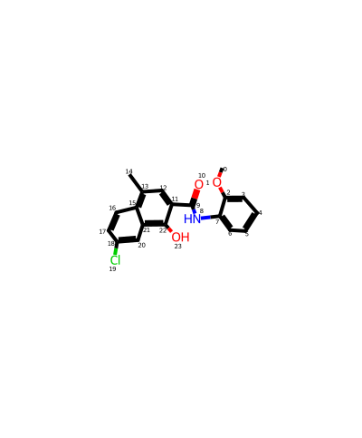 COc1ccccc1NC(=O)c1cc(C)c2ccc(Cl)cc2c1O